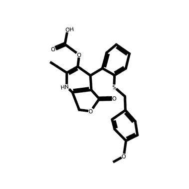 COc1ccc(CSc2ccccc2C2C(OC(=O)O)=C(C)NC3=C2C(=O)OC3)cc1